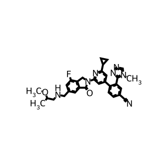 COC(C)CNCc1cc(F)c2c(c1)C(=O)N(c1cc(-c3ccc(C#N)cc3-c3nncn3C)cc(C3CC3)n1)C2